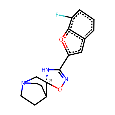 Fc1cccc2cc(C3=NO[C@@]4(CN5CCC4CC5)N3)oc12